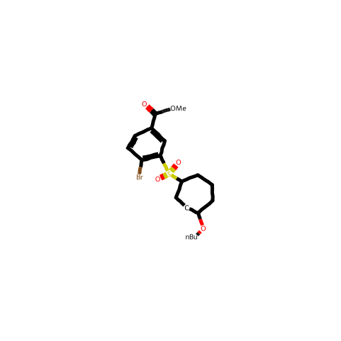 CCCCOC1CCCC(S(=O)(=O)c2cc(C(=O)OC)ccc2Br)CC1